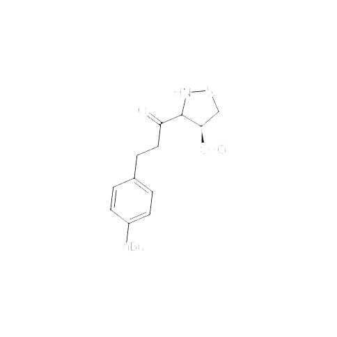 CCCCc1ccc(CCC(=O)C2NSC[C@H]2C=O)cc1